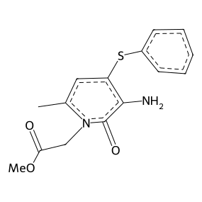 COC(=O)Cn1c(C)cc(Sc2ccccc2)c(N)c1=O